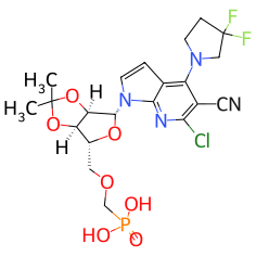 CC1(C)O[C@@H]2[C@H](O1)[C@@H](COCP(=O)(O)O)O[C@H]2n1ccc2c(N3CCC(F)(F)C3)c(C#N)c(Cl)nc21